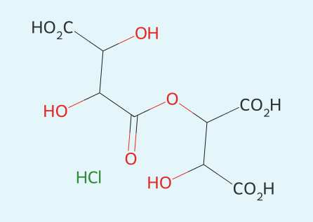 Cl.O=C(O)C(O)C(O)C(=O)OC(C(=O)O)C(O)C(=O)O